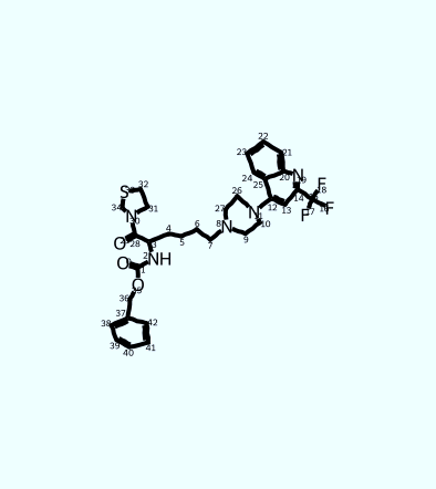 O=C(NC(CCCCN1CCN(c2cc(C(F)(F)F)nc3ccccc23)CC1)C(=O)N1CCSC1)OCc1ccccc1